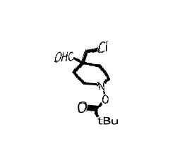 CC(C)(C)C(=O)ON1CCC(C=O)(CCl)CC1